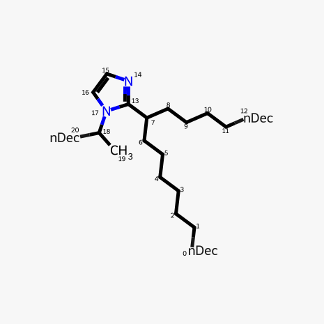 CCCCCCCCCCCCCCCCC(CCCCCCCCCCCCCC)c1nccn1C(C)CCCCCCCCCC